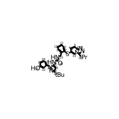 CC(C)c1nnc2ccc(Sc3ccccc3CNC(=O)Nc3cc(C(C)(C)C)nn3-c3cccc(O)c3)cn12